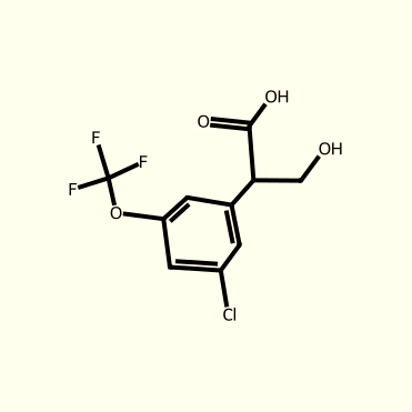 O=C(O)C(CO)c1cc(Cl)cc(OC(F)(F)F)c1